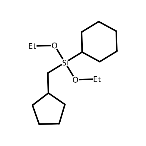 CCO[Si](CC1CCCC1)(OCC)C1CCCCC1